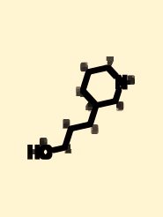 OCCCC1[CH]CC[N]C1